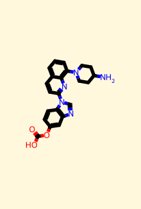 NC1CCN(c2cccc3ccc(-n4cnc5cc(OC(=O)O)ccc54)nc23)CC1